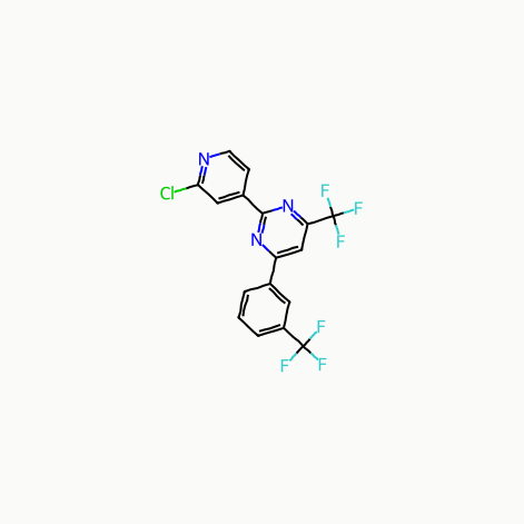 FC(F)(F)c1cccc(-c2cc(C(F)(F)F)nc(-c3ccnc(Cl)c3)n2)c1